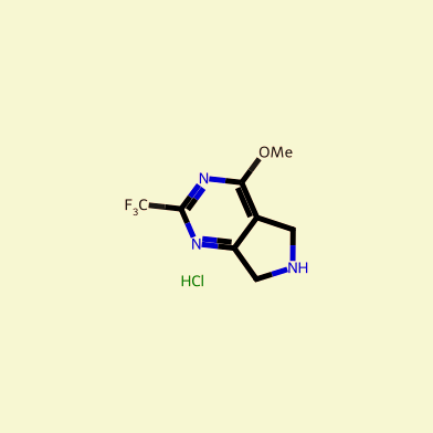 COc1nc(C(F)(F)F)nc2c1CNC2.Cl